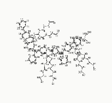 CCCCCCCCC1(CCCCCCCC)c2cc(-c3ccccc3)ccc2-c2ccc(N(c3ccccc3)c3ccc4c(c3)C(CCCCCCCC)(CCCCCCCC)c3cc(N(c5ccccc5)c5ccc6c(c5)C(CCCCCCCC)(CCCCCCCC)c5cc(C(C)CC)ccc5-6)ccc3-4)cc21